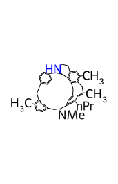 CCCC1=C2/C=C/Cc3c(c(C)cc4c3C(Cc3ccc(cc3)Cc3cc(ccc3C)CC2NC)NCC4)C\C(C)=C\1